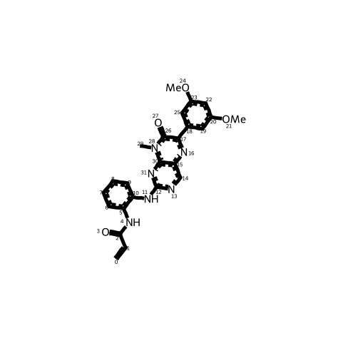 C=CC(=O)Nc1ccccc1Nc1ncc2nc(-c3cc(OC)cc(OC)c3)c(=O)n(C)c2n1